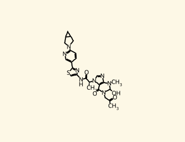 CC(=O)CN1C(=O)c2c(ncn2[C@@H](C)C(=O)Nc2csc(-c3ccc(N4CC5CC5C4)nc3)n2)N(C)C1O